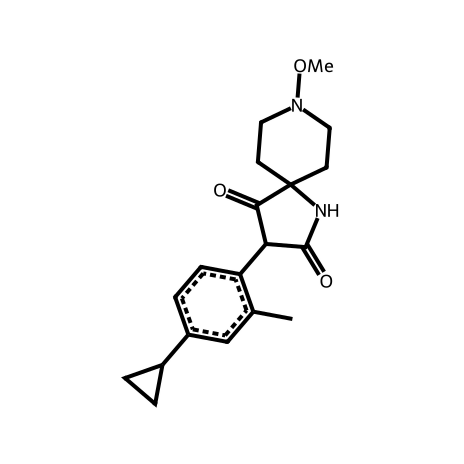 CON1CCC2(CC1)NC(=O)C(c1ccc(C3CC3)cc1C)C2=O